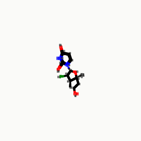 CC[C@@]1(CCO)O[C@@H](n2ccc(=O)[nH]c2=O)[C@H](F)[C@@H]1C